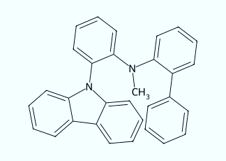 CN(c1ccccc1-c1ccccc1)c1ccccc1-n1c2ccccc2c2ccccc21